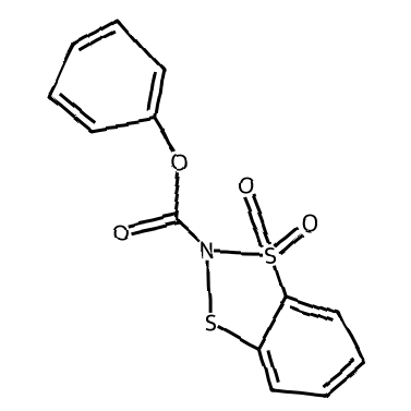 O=C(Oc1ccccc1)N1Sc2ccccc2S1(=O)=O